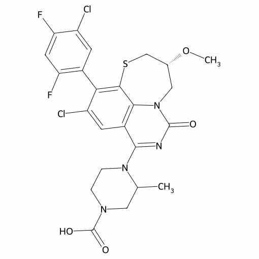 CO[C@H]1CSc2c(-c3cc(Cl)c(F)cc3F)c(Cl)cc3c(N4CCN(C(=O)O)CC4C)nc(=O)n(c23)C1